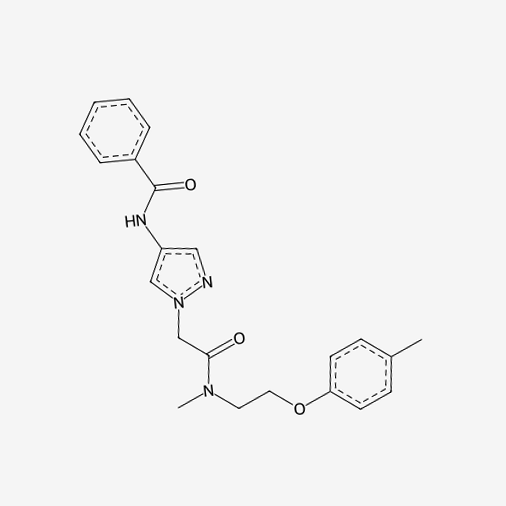 Cc1ccc(OCCN(C)C(=O)Cn2cc(NC(=O)c3ccccc3)cn2)cc1